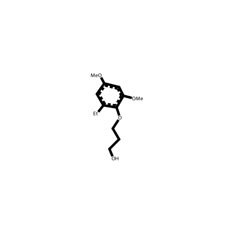 CCc1cc(OC)cc(OC)c1OCCCO